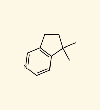 CC1(C)CCc2cnccc21